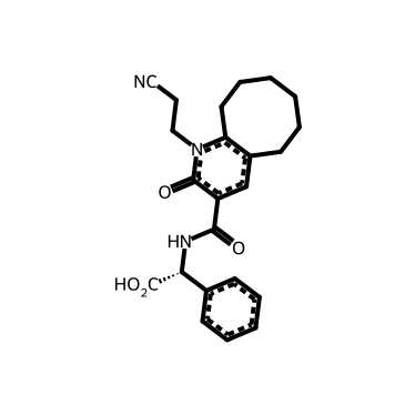 N#CCCn1c2c(cc(C(=O)N[C@@H](C(=O)O)c3ccccc3)c1=O)CCCCCC2